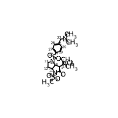 CC(C)C1C(=O)N(S(C)(=O)=O)C2CCN(S(=O)(=O)c3ccc(CN(C)C)cc3)C12.Cl